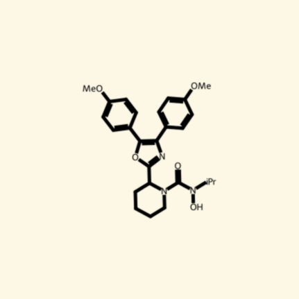 COc1ccc(-c2nc(C3CCCCN3C(=O)N(O)C(C)C)oc2-c2ccc(OC)cc2)cc1